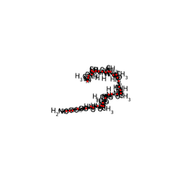 Cn1cc(NC(=O)c2nc(NC(=O)CCNC(=O)c3cc(NC(=O)c4nccn4C)cn3C)cn2C)cc1C(=O)NCCCC(=O)Nc1cn(C)c(C(=O)NCCC(=O)Nc2cc(C(=O)Nc3cn(C)c(C(=O)NCCC(=O)NCCOCCOCCOCCOCCOCCN)n3)n(C)c2)n1